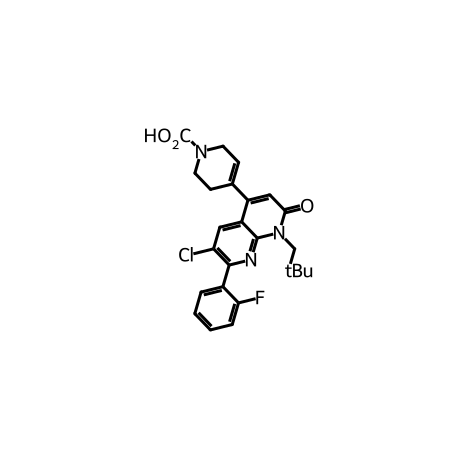 CC(C)(C)Cn1c(=O)cc(C2=CCN(C(=O)O)CC2)c2cc(Cl)c(-c3ccccc3F)nc21